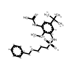 COc1c(NC(=O)O)cc(C(C)(C)C)cc1NS(=O)(=O)CCCOCc1ccccc1